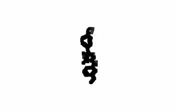 CCc1cccc(/N=c2/sc(-c3ccc(Cl)cc3)nn2C)c1